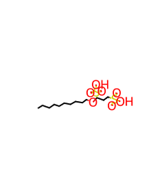 CCCCCCCCCCOC(CCS(=O)(=O)O)S(=O)(=O)O